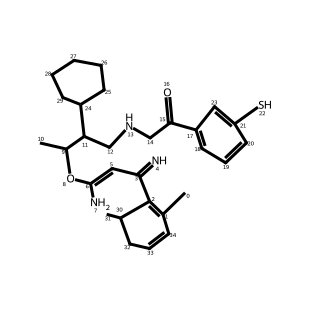 CC1=C(C(=N)/C=C(\N)OC(C)C(CNCC(=O)c2cccc(S)c2)C2CCCCC2)C(C)CC=C1